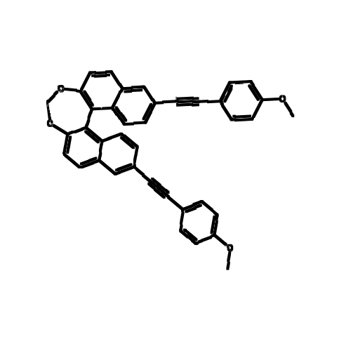 COc1ccc(C#Cc2ccc3c4c(ccc3c2)OCOc2ccc3cc(C#Cc5ccc(OC)cc5)ccc3c2-4)cc1